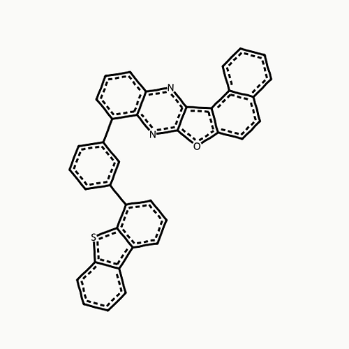 c1cc(-c2cccc3nc4c(nc23)oc2ccc3ccccc3c24)cc(-c2cccc3c2sc2ccccc23)c1